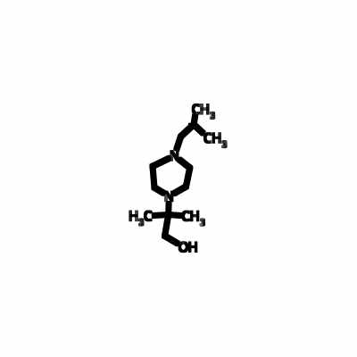 C[C](C)CN1CCN(C(C)(C)CO)CC1